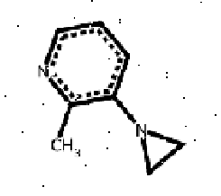 Cc1ncccc1N1CC1